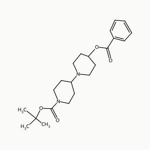 CC(C)(C)OC(=O)N1CCC(N2CCC(OC(=O)c3ccccc3)CC2)CC1